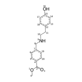 COC(=O)c1ccc(CNCCc2ccc(O)cc2)cc1